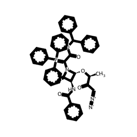 C[C@H](O[C@@H]1[C@@H](NC(=O)c2ccccc2)C(=O)N1C(C(=O)OC(c1ccccc1)c1ccccc1)=P(c1ccccc1)(c1ccccc1)c1ccccc1)C(=O)C=[N+]=[N-]